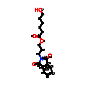 O=C(CCCCCO)OCCCN1C(=O)C2C3C=CC(C3)C2C1=O